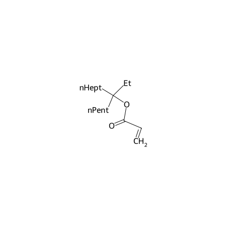 C=CC(=O)OC(CC)(CCCCC)CCCCCCC